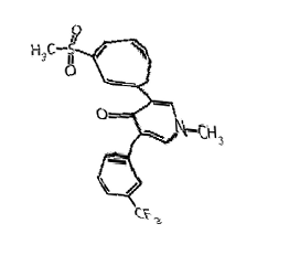 Cn1cc(-c2cccc(C(F)(F)F)c2)c(=O)c(-c2cccc(S(C)(=O)=O)c2)c1